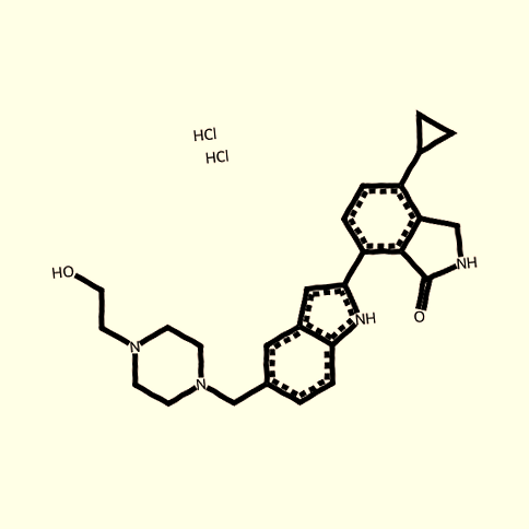 Cl.Cl.O=C1NCc2c(C3CC3)ccc(-c3cc4cc(CN5CCN(CCO)CC5)ccc4[nH]3)c21